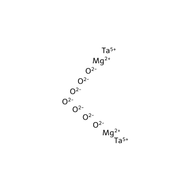 [Mg+2].[Mg+2].[O-2].[O-2].[O-2].[O-2].[O-2].[O-2].[O-2].[Ta+5].[Ta+5]